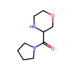 O=C(C1COCCN1)N1CCCC1